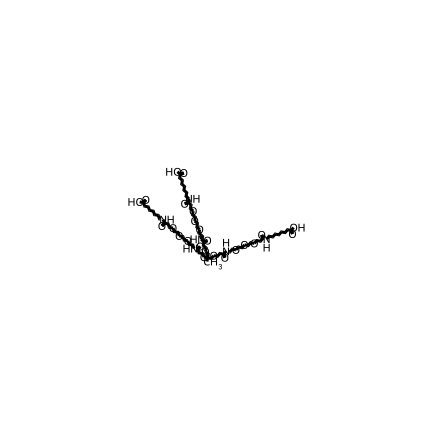 CC(COCCC(=O)NCCOCCOCCOCCC(=O)NCCCCCCCC(=O)O)(COCCC(=O)NCCOCCOCCOCCC(=O)NCCCCCCCC(=O)O)OCCC(=O)NCCOCCOCCOCCC(=O)NCCCCCCCC(=O)O